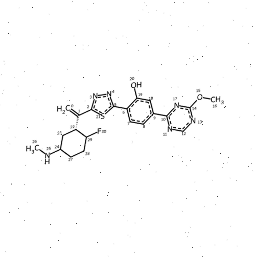 C=C(c1nnc(-c2ccc(-c3ncnc(OC)n3)cc2O)s1)[C@H]1CC(NC)CCC1F